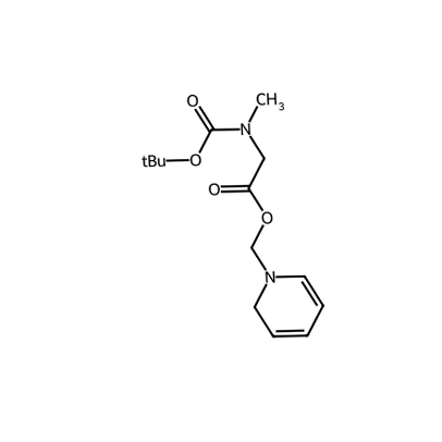 CN(CC(=O)OCN1C=CC=CC1)C(=O)OC(C)(C)C